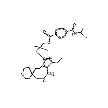 CCc1nn(CC(C)(C)COC(=O)c2ccc(C(=O)NC(C)C)cc2)c2c1C(=O)NCC1(CCOCC1)C2